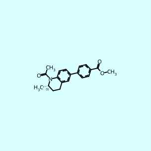 COC(=O)c1ccc(-c2ccc3c(c2)CC[C@H](C)N3C(C)=O)cc1